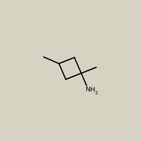 CC1CC(C)(N)C1